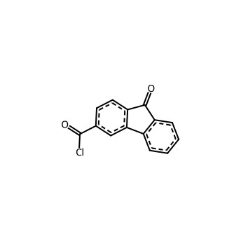 O=C(Cl)c1ccc2c(c1)-c1ccccc1C2=O